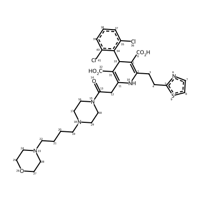 O=C(O)C1=C(CCc2nccs2)NC(CC(=O)N2CCN(CCCCN3CCOCC3)CC2)=C(C(=O)O)C1c1c(Cl)cccc1Cl